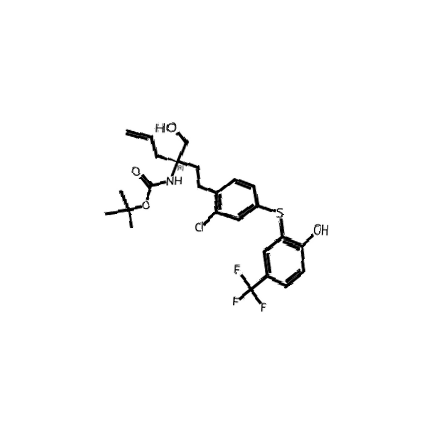 C=CC[C@@](CO)(CCc1ccc(Sc2cc(C(F)(F)F)ccc2O)cc1Cl)NC(=O)OC(C)(C)C